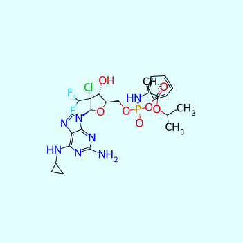 CC(C)OC(=O)[C@H](C)N[P@@](=O)(OC[C@H]1O[C@@H](n2cnc3c(NC4CC4)nc(N)nc32)[C@@](Cl)(C(F)F)[C@@H]1O)Oc1ccccc1